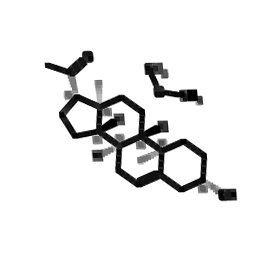 CC(=O)[C@H]1CC[C@H]2[C@@H]3CC=C4C[C@@H](O)CC[C@]4(C)[C@H]3CC[C@]12C.[SiH3]O[SiH3]